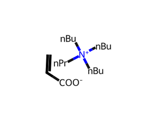 C=CC(=O)[O-].CCCC[N+](CCC)(CCCC)CCCC